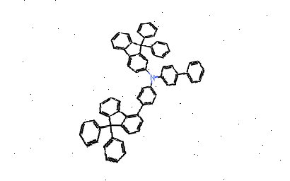 c1ccc(-c2ccc(N(c3ccc(-c4cccc5c4-c4ccccc4C5(c4ccccc4)c4ccccc4)cc3)c3ccc4c(c3)C(c3ccccc3)(c3ccccc3)c3ccccc3-4)cc2)cc1